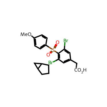 C1CC2CC2C1.COc1ccc(S(=O)(=O)c2c(Br)cc(CC(=O)O)cc2Br)cc1